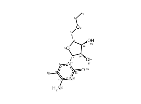 CCOC[C@H]1O[C@@H](n2cc(C)c(N)nc2=O)[C@H](O)[C@@H]1O